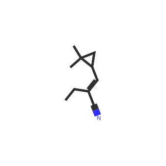 CC/C(C#N)=C\C1CC1(C)C